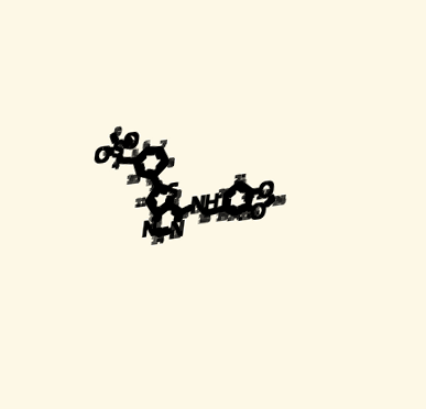 CS(=O)(=O)Cc1cccc(-c2cc3ncnc(NCc4ccc5c(c4)OCO5)c3s2)c1